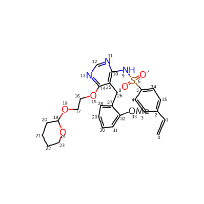 C=Cc1ccc(S(=O)(=O)Nc2ncnc(OCCOC3CCCCO3)c2Cc2ccccc2OC)cc1